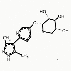 Cc1n[nH]c(C)c1-c1ccc(O[C@H]2SC[C@@H](O)[C@H](O)[C@H]2O)cn1